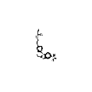 CCC(=O)OCCc1ccc(-n2c(CC)nc3cc(S(C)(=O)=O)ccc32)cc1